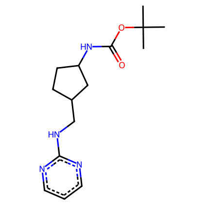 CC(C)(C)OC(=O)NC1CCC(CNc2ncccn2)C1